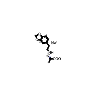 C/C(=N/NCCc1ccc2c(c1)OCO2)C(=O)[O-].[Na+]